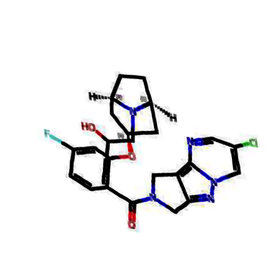 CC(O)CN1[C@@H]2CC[C@H]1C[C@@H](Oc1cc(F)ccc1C(=O)N1Cc3nn4cc(Cl)cnc4c3C1)C2